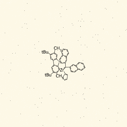 Cc1cc2c(cc1C(C)(C)C)-c1cc(C(C)(C)C)c(C)[c]([Zr]([C]3=CC=CC3)=[C](c3ccc4ccccc4c3)c3ccc4ccccc4c3)c1C2